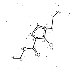 CCCn1cnc(C(=O)OCC)c1Cl